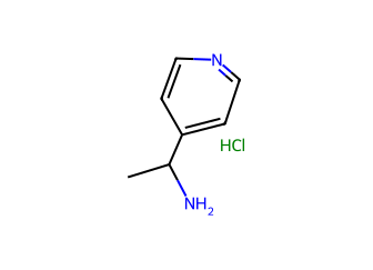 CC(N)c1ccncc1.Cl